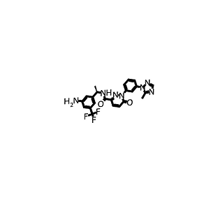 Cc1ncnn1-c1cccc(-n2nc(C(=O)N[C@H](C)c3cc(N)cc(C(F)(F)F)c3)ccc2=O)c1